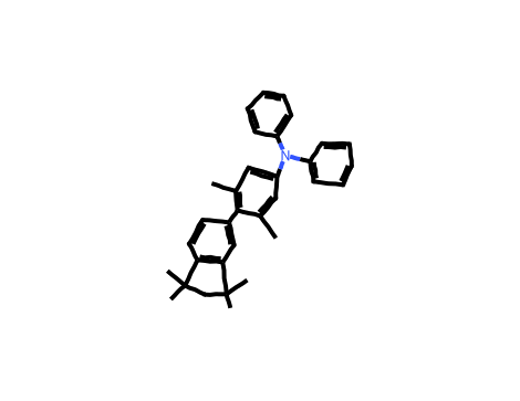 Cc1cc(N(c2ccccc2)c2ccccc2)cc(C)c1-c1ccc2c(c1)C(C)(C)CC2(C)C